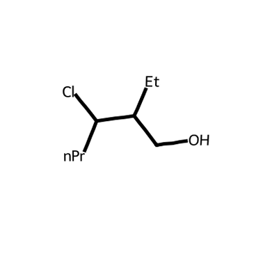 CCCC(Cl)C(CC)CO